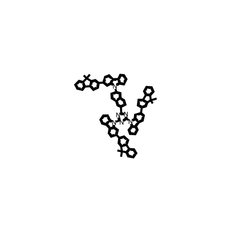 CC1(C)c2ccccc2-c2ccc(-c3ccc4c5ccccc5n(-c5ccc6cc(-c7nc(-n8c9ccccc9c9ccc(-c%10ccc%11c(c%10)C(C)(C)c%10ccccc%10-%11)cc98)nc(-n8c9ccccc9c9ccc(-c%10ccc%11c(c%10)C(C)(C)c%10ccccc%10-%11)cc98)n7)ccc6c5)c4c3)cc21